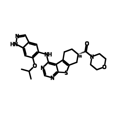 CC(C)Oc1cc2[nH]ncc2cc1Nc1ncnc2sc3c(c12)CC[C@H](C(=O)N1CCOCC1)C3